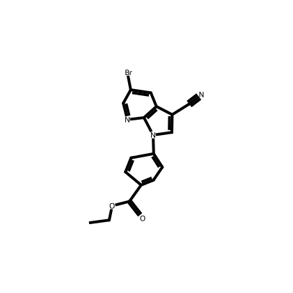 CCOC(=O)c1ccc(-n2cc(C#N)c3cc(Br)cnc32)cc1